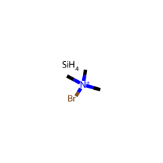 C[N+](C)(C)Br.[SiH4]